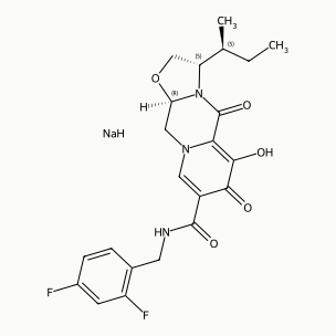 CC[C@H](C)[C@H]1CO[C@@H]2Cn3cc(C(=O)NCc4ccc(F)cc4F)c(=O)c(O)c3C(=O)N12.[NaH]